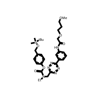 CCN(Cc1nnc(-c2cccc(NC(=O)COCCCOC)c2)nn1)C(=O)Oc1ccc(CO[Si](C)(C)C(C)(C)C)cc1